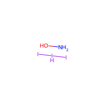 I[IH]I.NO